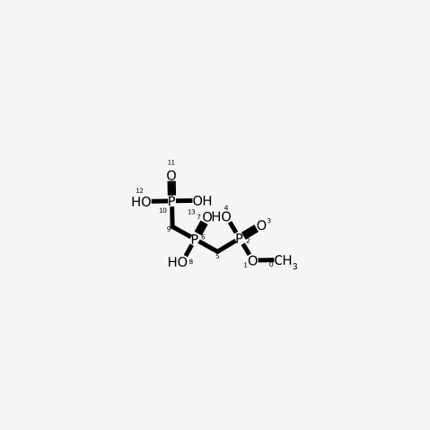 COP(=O)(O)CP(=O)(O)CP(=O)(O)O